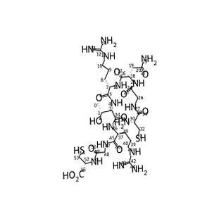 C[C@@H](O)[C@H](NC(=O)[C@H](CCCNC(=N)N)NC(=O)[C@H](CC(N)=O)NC(=O)CNC(=O)[C@@H](N)CS)C(=O)N[C@@H](CCCNC(=N)N)C(=O)NCC(=O)N[C@@H](CS)C(=O)O